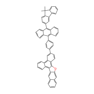 CC1(C)c2ccccc2-c2cc(-c3c4ccccc4c(-c4ccc(-c5ccc6c(c5)c5ccccc5c5c7cc8ccccc8cc7oc65)cc4)c4ccccc34)ccc21